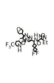 CCc1nonc1C(=O)N[C@H](c1cn2nc(C[C@H]3C[C@@H](C(F)(F)F)CNC3=O)c(C3CCOCC3)nc2n1)C1CC2(C1)CC(F)(F)C2